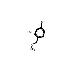 Cl.NOCc1ccc(Br)cc1